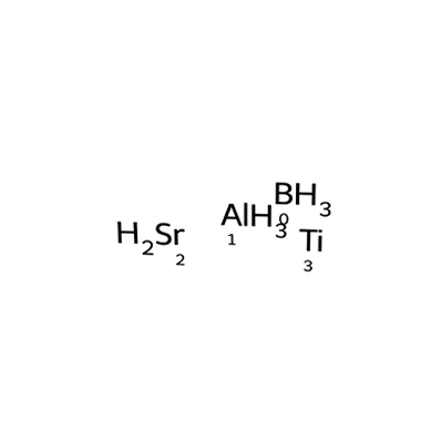 B.[AlH3].[SrH2].[Ti]